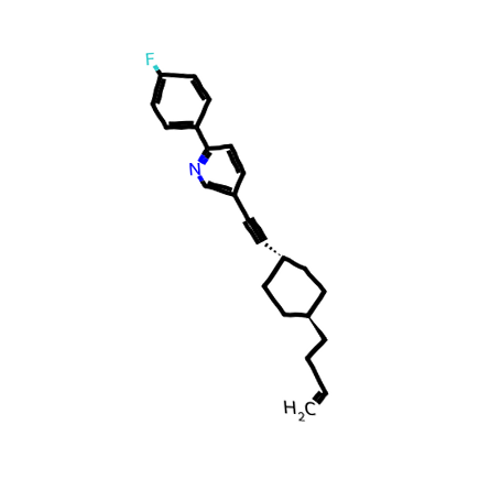 C=CCC[C@H]1CC[C@H](C#Cc2ccc(-c3ccc(F)cc3)nc2)CC1